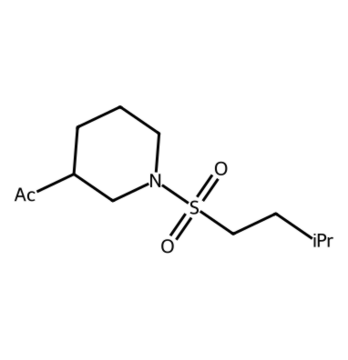 CC(=O)C1CCCN(S(=O)(=O)CCC(C)C)C1